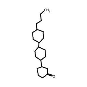 CCCCC1CCC(C2CCC(C3CCCC(=O)C3)CC2)CC1